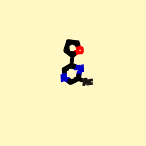 CC(=O)c1cncc(-c2ccco2)n1